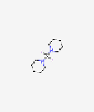 I[Si](I)(N1CCCCC1)N1CCCCC1